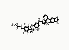 CN(Cc1c(F)c(F)c(S(=O)(=O)Nc2c(F)cc(C(=O)c3ccc4c(-c5cc6ncn(C)c6cc5C(F)(F)F)cccn34)cc2F)c(F)c1F)C(=O)OC(C)(C)C